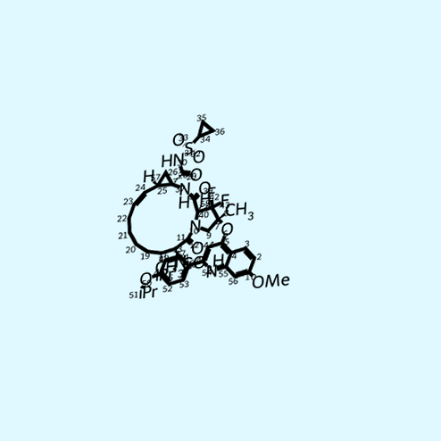 COc1ccc2c(O[C@]3(C)CN4C(=O)[C@@H](N(C(=O)O)C(C)C)[C@H](C)CCCC/C=C\[C@@H]5C[C@@]5(C(=O)NS(=O)(=O)C5CC5)NC(=O)[C@H]4C3(F)F)cc(-c3ccc(OC(C)C)cc3)nc2c1